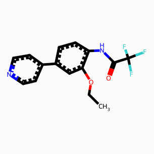 CCOc1cc(-c2ccncc2)ccc1NC(=O)C(F)(F)F